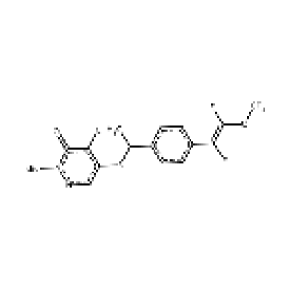 CC(Sc1cnn(C(C)(C)C)c(=O)c1Cl)c1ccc(C(F)=C(F)OC(F)(F)F)cc1